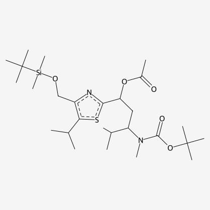 CC(=O)OC(CC(C(C)C)N(C)C(=O)OC(C)(C)C)c1nc(CO[Si](C)(C)C(C)(C)C)c(C(C)C)s1